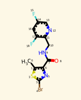 Cc1sc(Br)nc1C(=O)NCc1ncc(F)cc1F